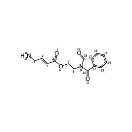 NC/C=C/C(=O)OCCN1C(=O)c2ccccc2C1=O